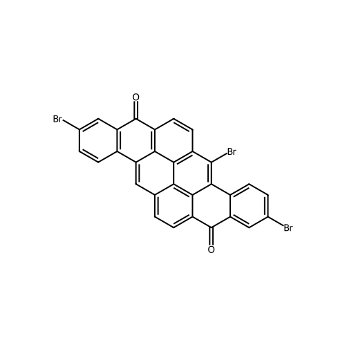 O=c1c2cc(Br)ccc2c2cc3ccc4c(=O)c5cc(Br)ccc5c5c(Br)c6ccc1c2c6c3c45